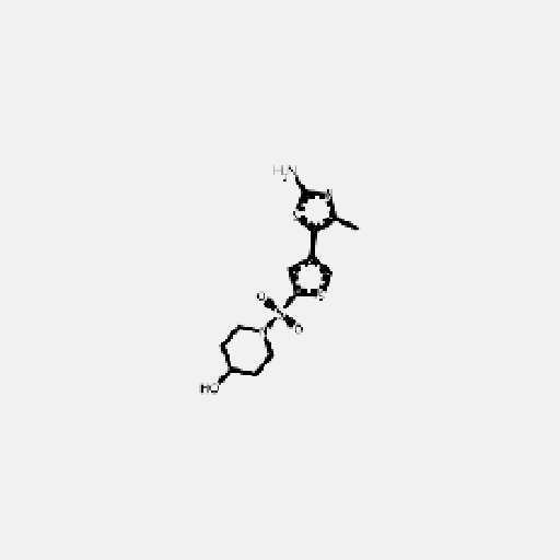 Cc1nc(N)sc1-c1csc(S(=O)(=O)N2CCC(O)CC2)c1